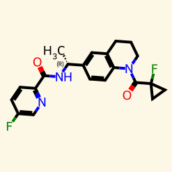 C[C@@H](NC(=O)c1ccc(F)cn1)c1ccc2c(c1)CCCN2C(=O)C1(F)CC1